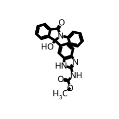 COC(=O)Nc1nc2ccc(C3(O)c4ccccc4C(=O)N3c3ccccc3)cc2[nH]1